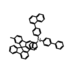 Cc1ccc2c(c1)C1(c3cc(C)ccc3-2)c2ccccc2-c2cccc(-c3ccc(N(c4ccc(-c5ccccc5)cc4)c4ccc(-c5cccc6ccccc56)cc4)cc3)c21